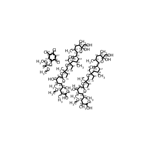 CC[C@@]1([C@@H]2O[C@@H]([C@H]3O[C@@](O)(CO)[C@H](C)C[C@@H]3C)C[C@@H]2C)CC[C@H]([C@]2(C)CC[C@]3(C[C@H](O)[C@@H](C)[C@@H]([C@@H](C)[C@@H](OC)[C@H](C)C(=O)O)O3)O2)O1.CC[C@@]1([C@@H]2O[C@@H]([C@H]3O[C@@](O)(CO)[C@H](C)C[C@@H]3C)C[C@@H]2C)CC[C@H]([C@]2(C)CC[C@]3(C[C@H](O)[C@@H](C)[C@@H]([C@@H](C)[C@@H](OC)[C@H](C)C(=O)O)O3)O2)O1.COP(=S)(OC)Oc1cc(Cl)c(Cl)cc1Cl